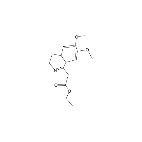 CCOC(=O)CC1=NCCC2C=C(OC)C(OC)=CC12